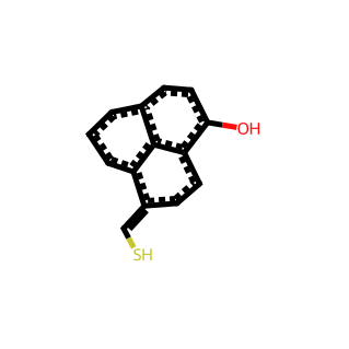 Oc1ccc2cccc3c(=CS)ccc1c23